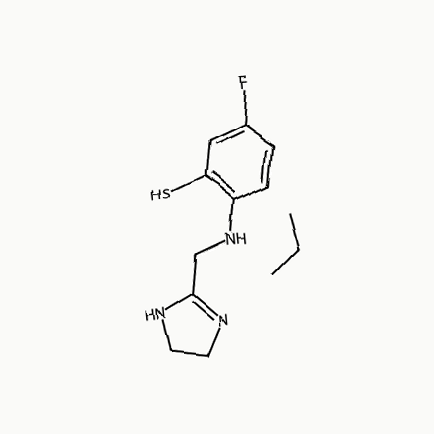 CCC.Fc1ccc(NCC2=NCCN2)c(S)c1